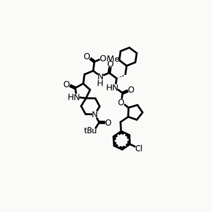 COC(=O)C(CC1CC2(CCN(C(=O)C(C)(C)C)CC2)NC1=O)NC(=O)[C@H](CC1CCCCC1)NC(=O)OC1CCCC1Cc1cccc(Cl)c1